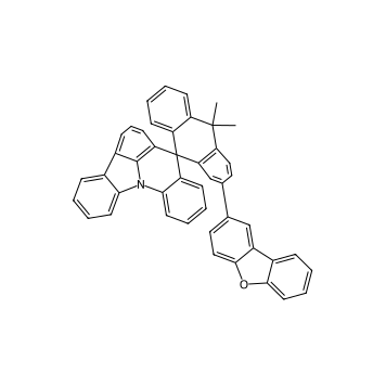 CC1(C)c2ccccc2C2(c3ccccc3-n3c4ccccc4c4cccc2c43)c2cc(-c3ccc4oc5ccccc5c4c3)ccc21